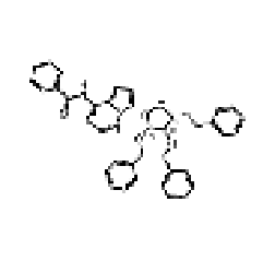 O=C(Nc1ncnn2c([C@@H]3O[C@H](CCc4ccccc4)[C@@H](OCc4ccccc4)[C@H]3OCc3ccccc3)ccc12)c1ccccc1